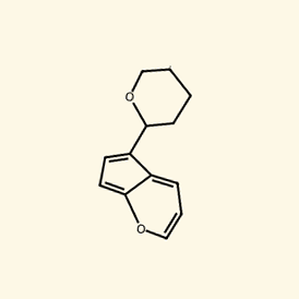 [CH]1CCC(c2ccc3occcc2-3)OC1